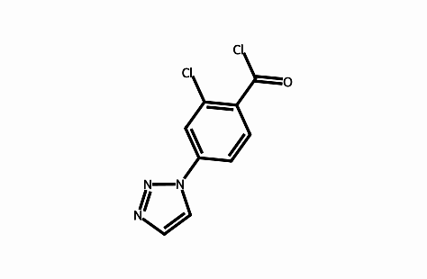 O=C(Cl)c1ccc(-n2ccnn2)cc1Cl